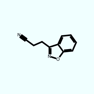 N#CCCc1noc2ccccc12